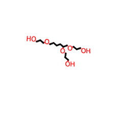 OCCCOCCCCC(COCCCO)OCCCO